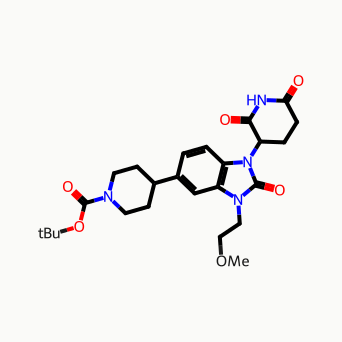 COCCn1c(=O)n(C2CCC(=O)NC2=O)c2ccc(C3CCN(C(=O)OC(C)(C)C)CC3)cc21